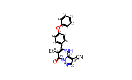 CCc1c(-c2ccc(Oc3ccccc3)cc2)[nH]c2c(C#N)cnn2c1=O